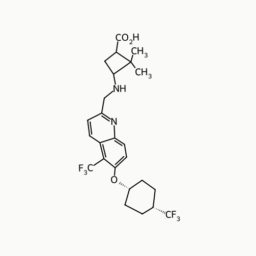 CC1(C)C(NCc2ccc3c(C(F)(F)F)c(O[C@H]4CC[C@@H](C(F)(F)F)CC4)ccc3n2)CC1C(=O)O